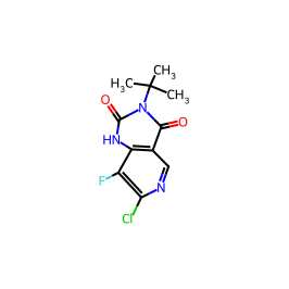 CC(C)(C)n1c(=O)[nH]c2c(F)c(Cl)ncc2c1=O